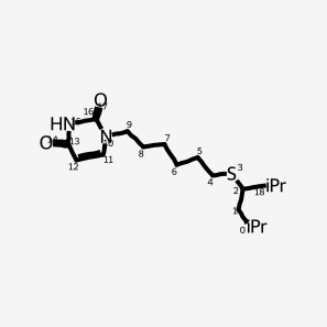 CC(C)CC(SCCCCCCn1ccc(=O)[nH]c1=O)C(C)C